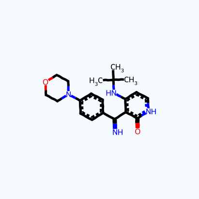 CC(C)(C)Nc1cc[nH]c(=O)c1C(=N)c1ccc(N2CCOCC2)cc1